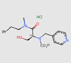 CC(C)CCN(C)C(=O)[C@H](CO)N(Cc1ccncc1)C(=O)O.Cl